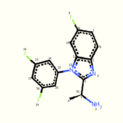 C[C@H](N)c1nc2ccc(F)cc2n1-c1cc(F)cc(F)c1